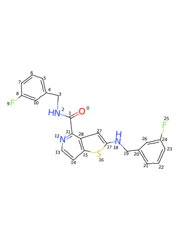 O=C(NCc1cccc(F)c1)c1nccc2sc(NCc3cccc(F)c3)cc12